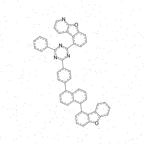 c1ccc(-c2nc(-c3ccc(-c4cccc5c(-c6cccc7oc8ccccc8c67)cccc45)cc3)nc(-c3cccc4oc5ncccc5c34)n2)cc1